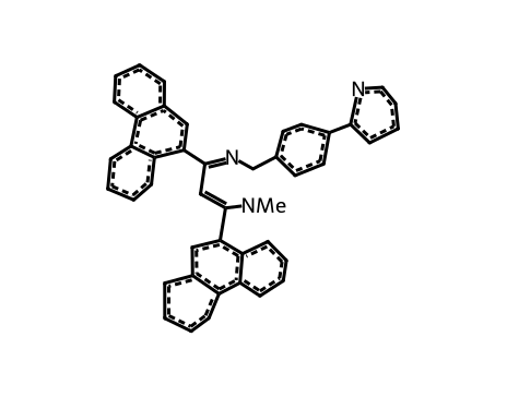 CN/C(=C\C(=N/Cc1ccc(-c2ccccn2)cc1)c1cc2ccccc2c2ccccc12)c1cc2ccccc2c2ccccc12